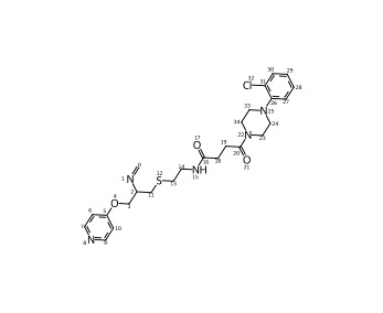 C=NC(COc1ccncc1)CSCCNC(=O)CCC(=O)N1CCN(c2ccccc2Cl)CC1